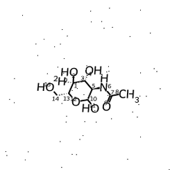 [2H][C@]1(O)[C@H](O)[C@@H](NC(C)=O)C(O)O[C@@H]1CO